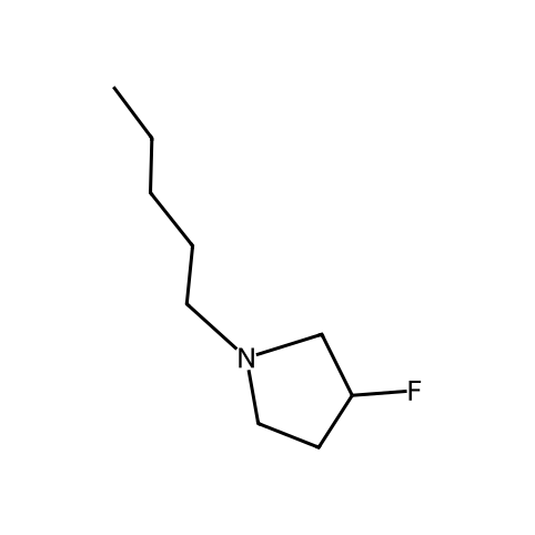 CCCCCN1CCC(F)C1